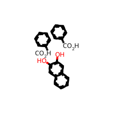 O=C(O)c1ccccc1.O=C(O)c1ccccc1.Oc1cc2ccccc2cc1O